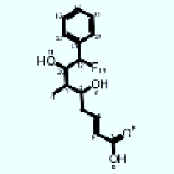 CC(C(O)CC=CC(=O)O)C(O)C(F)c1ccccc1